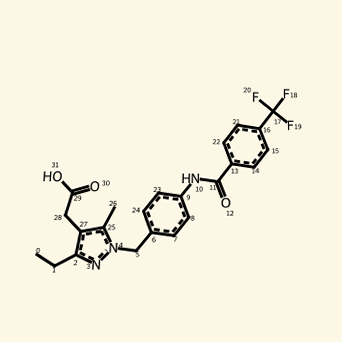 CCc1nn(Cc2ccc(NC(=O)c3ccc(C(F)(F)F)cc3)cc2)c(C)c1CC(=O)O